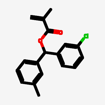 C=C(C)C(=O)OC(c1cccc(C)c1)c1cccc(Cl)c1